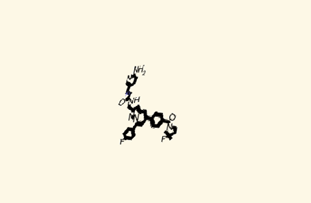 CC1(F)CCN(C(=O)c2ccc(-c3cc(-c4ccc(F)cc4)n4nc(CNC(=O)/C=C/c5ccc(N)nc5)cc4c3)cc2)C1